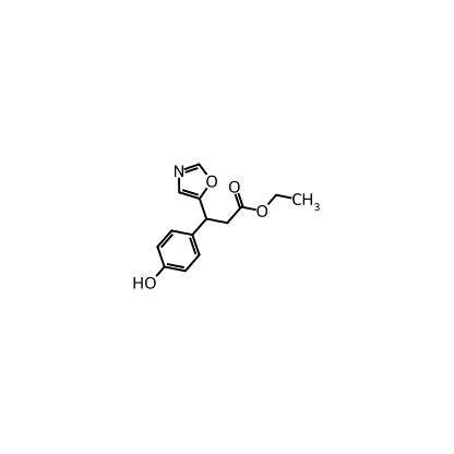 CCOC(=O)CC(c1ccc(O)cc1)c1cnco1